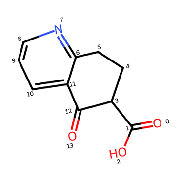 O=C(O)C1CCc2ncccc2C1=O